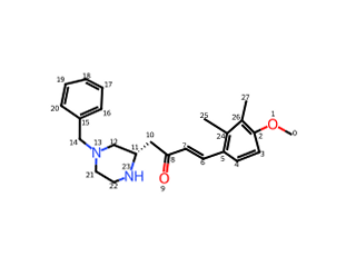 COc1ccc(C=CC(=O)C[C@H]2CN(Cc3ccccc3)CCN2)c(C)c1C